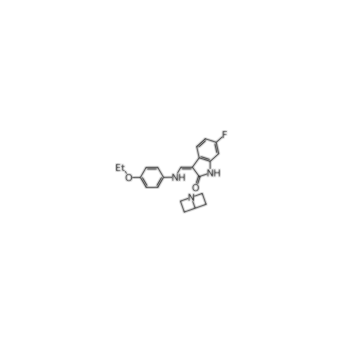 C1CN2CCC12.CCOc1ccc(NC=C2C(=O)Nc3cc(F)ccc32)cc1